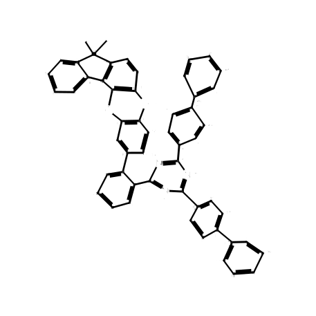 CC1(C)c2ccccc2-c2c1ccc1c2Oc2cc(-c3ccccc3-c3nc(-c4ccc(-c5ccccc5)cc4)nc(-c4ccc(-c5ccccc5)cc4)n3)ccc2O1